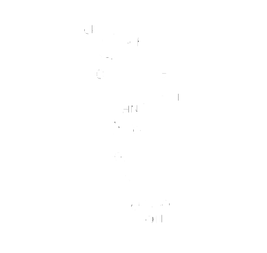 CCOC(Cc1ccc(OCCN(CCCCOc2cc(Cl)cc(Cl)c2)C(=O)Nc2ccc(F)c(F)c2)cc1)C(=O)O